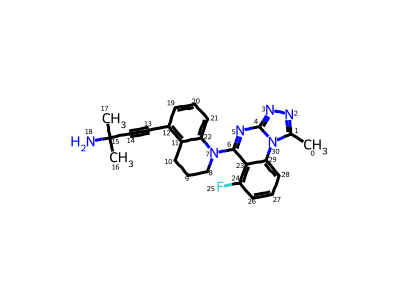 Cc1nnc2nc(N3CCCc4c(C#CC(C)(C)N)cccc43)c3c(F)cccc3n12